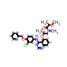 CO[C@H](C)C(=O)N(C)C[C@@H](C)Oc1cccc2ncnc(Nc3ccc(OCc4ccccn4)c(Cl)c3)c12